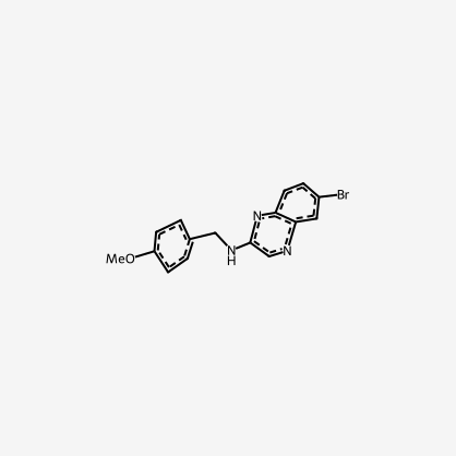 COc1ccc(CNc2cnc3cc(Br)ccc3n2)cc1